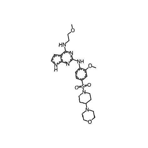 COCCNc1nc(Nc2ccc(S(=O)(=O)N3CCC(N4CCOCC4)CC3)cc2OC)nc2[nH]ccc12